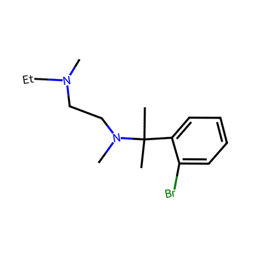 CCN(C)CCN(C)C(C)(C)c1ccccc1Br